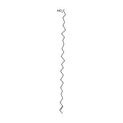 CC=CCCCCCCCCCCCCCCCCCCCCCCCCC(=O)O